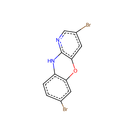 Brc1ccc2c(c1)Oc1cc(Br)cnc1N2